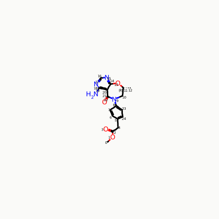 COC(=O)Cc1ccc(N2C[C@@H](C)Oc3ncnc(N)c3C2=O)cc1